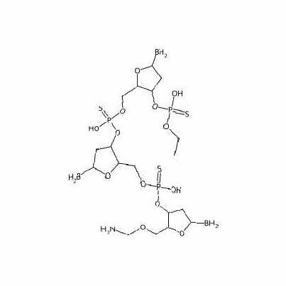 BC1CC(OP(O)(=S)OCC2OC(B)CC2OP(O)(=S)OCC2OC(B)CC2OP(O)(=S)OCC)C(COCN)O1